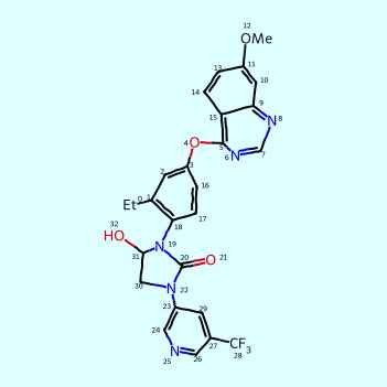 CCc1cc(Oc2ncnc3cc(OC)ccc23)ccc1N1C(=O)N(c2cncc(C(F)(F)F)c2)CC1O